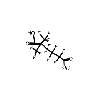 O=C(O)C(F)(F)C(F)(F)C(F)(F)C(C(=O)O)(C(F)(F)F)C(F)(F)F